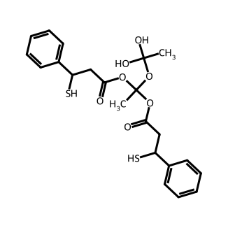 CC(O)(O)OC(C)(OC(=O)CC(S)c1ccccc1)OC(=O)CC(S)c1ccccc1